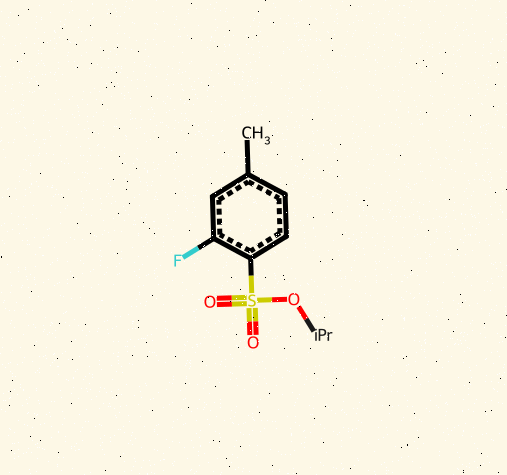 Cc1ccc(S(=O)(=O)OC(C)C)c(F)c1